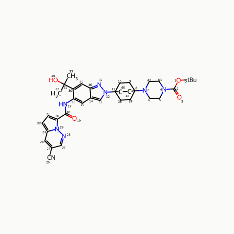 CC(C)(C)OC(=O)N1CCN(C23CCC(n4cc5cc(NC(=O)c6ccc7cc(C#N)cnn67)c(C(C)(C)O)cc5n4)(CC2)CC3)CC1